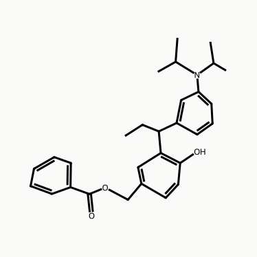 CCC(c1cccc(N(C(C)C)C(C)C)c1)c1cc(COC(=O)c2ccccc2)ccc1O